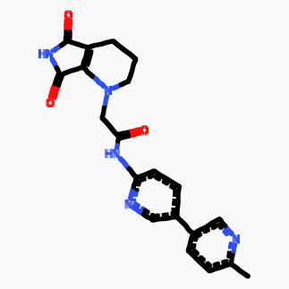 Cc1ccc(-c2ccc(NC(=O)CN3CCCC4=C3C(=O)NC4=O)nc2)cn1